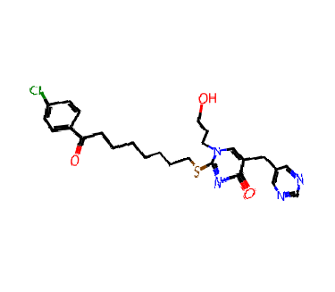 O=C(CCCCCCCSc1nc(=O)c(Cc2cncnc2)cn1CCCO)c1ccc(Cl)cc1